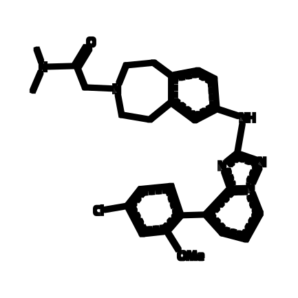 COc1cc(Cl)ccc1-c1cccn2nc(Nc3ccc4c(c3)CCN(CC(=O)N(C)C)CC4)nc12